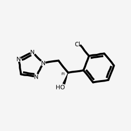 O[C@@H](Cn1ncnn1)c1ccccc1Cl